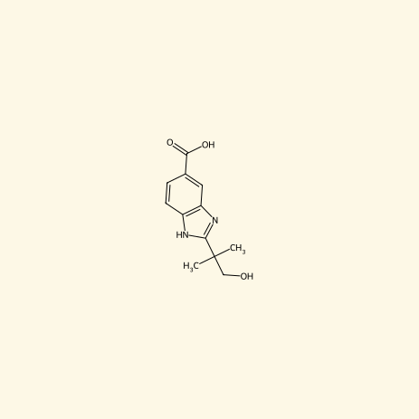 CC(C)(CO)c1nc2cc(C(=O)O)ccc2[nH]1